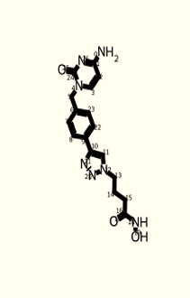 Nc1ccn(Cc2ccc(-c3cn(CCCC(=O)NO)nn3)cc2)c(=O)n1